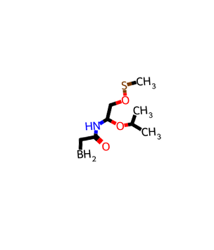 BCC(=O)NC(COSC)OC(C)C